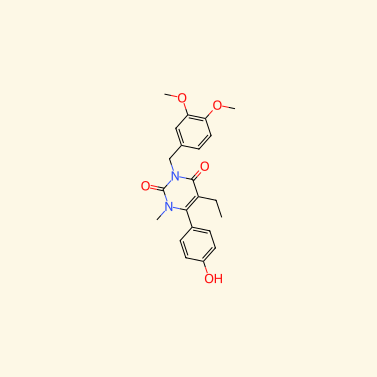 CCc1c(-c2ccc(O)cc2)n(C)c(=O)n(Cc2ccc(OC)c(OC)c2)c1=O